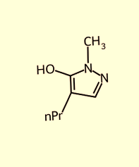 CCCc1cnn(C)c1O